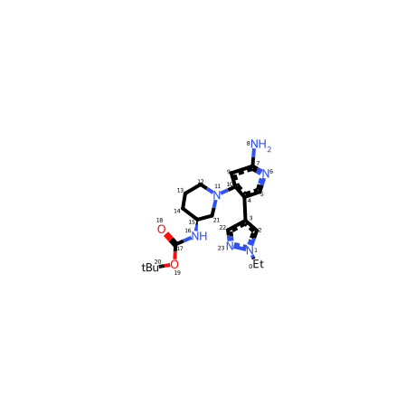 CCn1cc(-c2cnc(N)cc2N2CCC[C@H](NC(=O)OC(C)(C)C)C2)cn1